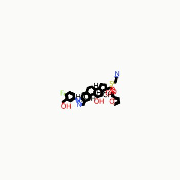 CC12Cc3cnn(-c4ccc(F)c(CO)c4)c3C=C1CC[C@@H]1[C@@H]2[C@@H](O)C[C@@]2(C)[C@H]1CC[C@]2(OC(=O)c1ccco1)C(=O)SCC#N